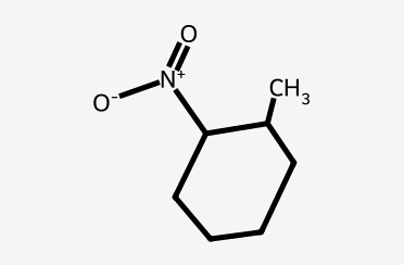 CC1CCCCC1[N+](=O)[O-]